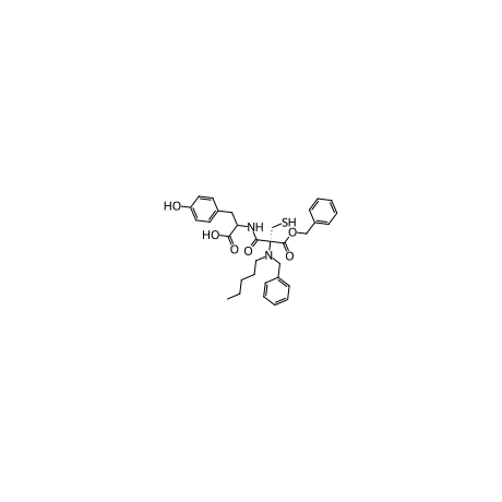 CCCCCN(Cc1ccccc1)[C@@](CS)(C(=O)NC(Cc1ccc(O)cc1)C(=O)O)C(=O)OCc1ccccc1